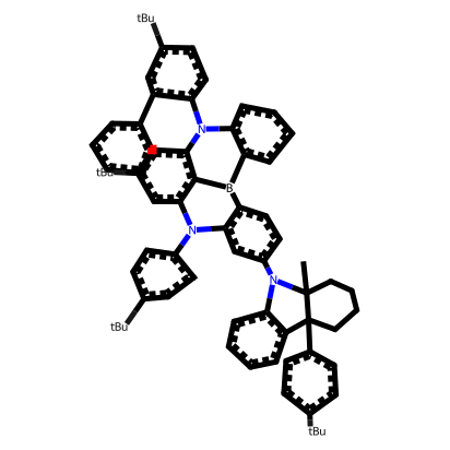 CC(C)(C)c1ccc(N2c3cc(N4c5ccccc5C5(c6ccc(C(C)(C)C)cc6)CCCCC45C)ccc3B3c4ccccc4N(c4ccc(C(C)(C)C)cc4-c4ccccc4)c4cc(C(C)(C)C)cc2c43)cc1